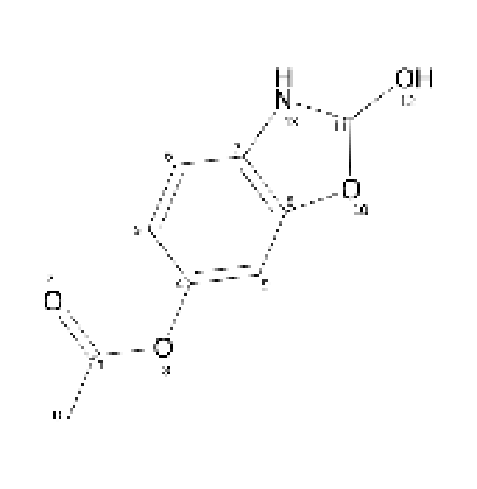 CC(=O)Oc1ccc2c(c1)OC(O)N2